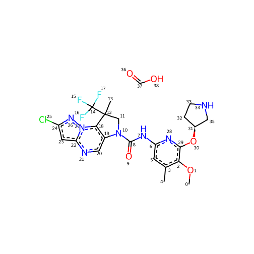 COc1c(C)cc(NC(=O)N2CC(C)(C(F)(F)F)c3c2cnc2cc(Cl)nn32)nc1O[C@H]1CCNC1.O=CO